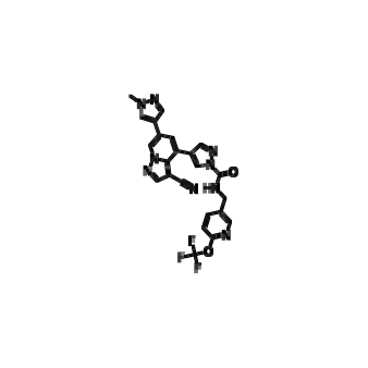 Cn1cc(-c2cc(-c3cnn(C(=O)NCc4ccc(OC(F)(F)F)nc4)c3)c3c(C#N)cnn3c2)cn1